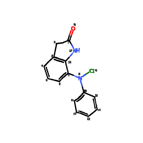 O=C1Cc2cccc(N(Cl)c3ccccc3)c2N1